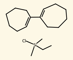 C1=C(C2=CCCCCC2)CCCCC1.CC[Si](C)(C)Cl